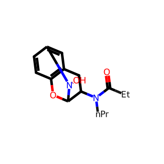 CCCN(C(=O)CC)C1Cc2cc3ccc2OC1N3O